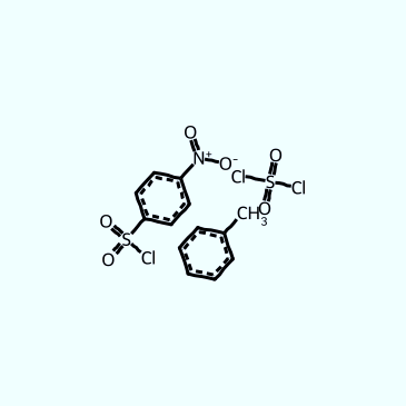 Cc1ccccc1.O=S(=O)(Cl)Cl.O=[N+]([O-])c1ccc(S(=O)(=O)Cl)cc1